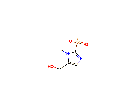 Cn1c(CO)cnc1S(C)(=O)=O